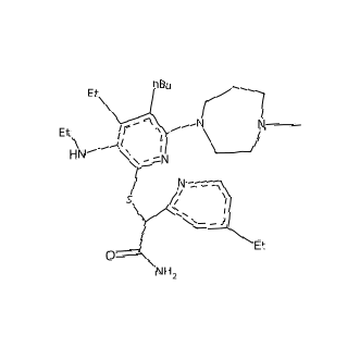 CCCCc1c(N2CCCN(C)CC2)nc(SC(C(N)=O)c2cc(CC)ccn2)c(NCC)c1CC